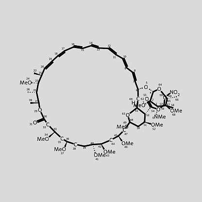 CN[C@@H]1[C@H](OC)[C@H](O[C@H]2/C=C/C=C/C=C/C=C/C=C/C=C/C=C/[C@H](C)[C@@H](OC)[C@@H](C)[C@H](C)OC(=O)C[C@H](OC)C[C@H](OC)CC[C@@H](OC)[C@H](OC)C[C@H](OC)C[C@]3(OC)C[C@H](OC)[C@@H](C(=O)OC(C)O[N+](=O)[O-])[C@H](C2)O3)O[C@H](C)[C@H]1OC